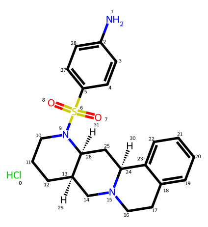 Cl.Nc1ccc(S(=O)(=O)N2CCC[C@@H]3CN4CCc5ccccc5[C@@H]4C[C@@H]32)cc1